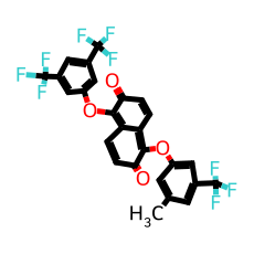 Cc1cc(OC2=C3C=CC(=O)C(Oc4cc(C(F)(F)F)cc(C(F)(F)F)c4)=C3C=CC2=O)cc(C(F)(F)F)c1